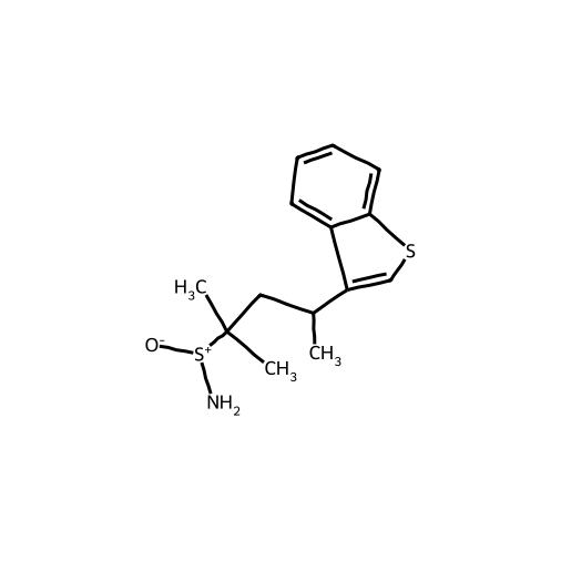 CC(CC(C)(C)[S+](N)[O-])c1csc2ccccc12